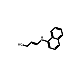 OC/C=C/Nc1cccc2ccccc12